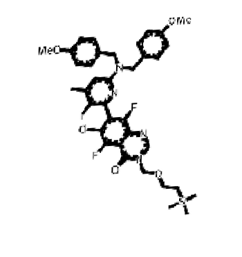 COc1ccc(CN(Cc2ccc(OC)cc2)c2cc(C)c(I)c(-c3c(Cl)c(F)c4c(=O)n(COCC[Si](C)(C)C)cnc4c3F)n2)cc1